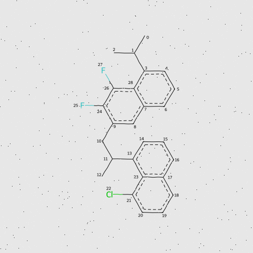 CC(C)c1cccc2cc(CC(C)c3cccc4cccc(Cl)c34)c(F)c(F)c12